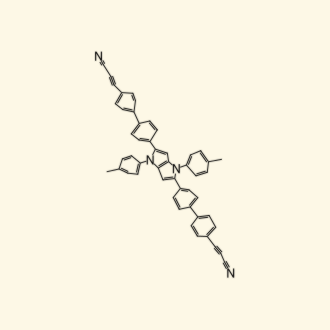 Cc1ccc(-n2c(-c3ccc(-c4ccc(C#CC#N)cc4)cc3)cc3c2cc(-c2ccc(-c4ccc(C#CC#N)cc4)cc2)n3-c2ccc(C)cc2)cc1